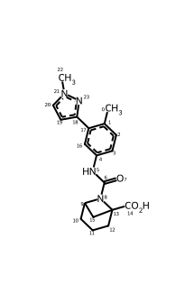 Cc1ccc(NC(=O)N2C3CCCC2(C(=O)O)C3)cc1-c1ccn(C)n1